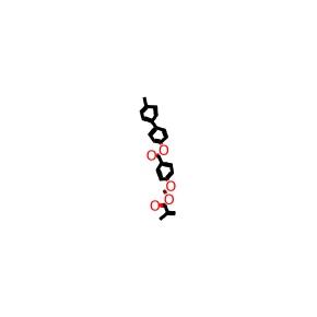 C=C(C)C(=O)OCOc1ccc(C(=O)Oc2ccc(-c3ccc(C)cc3)cc2)cc1